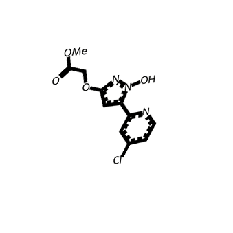 COC(=O)COc1cc(-c2cc(Cl)ccn2)n(O)n1